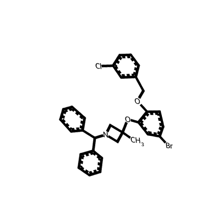 CC1(Oc2cc(Br)ccc2OCc2cccc(Cl)c2)CN(C(c2ccccc2)c2ccccc2)C1